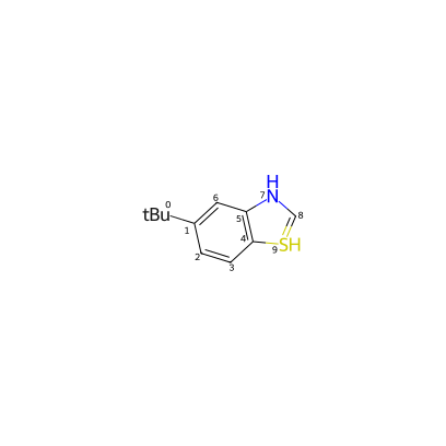 CC(C)(C)c1ccc2c(c1)NC=[SH]2